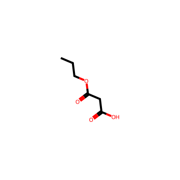 CCCOC(=O)CC(=O)O